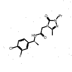 Cc1nn(C(C)C)c(=O)n1CC(=O)N[C@@H](C)c1ccc(Cl)c(F)c1